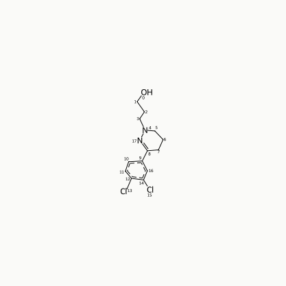 OCCCN1CCCC(c2ccc(Cl)c(Cl)c2)=N1